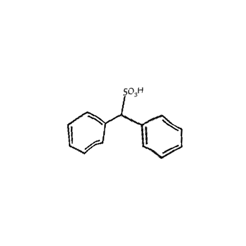 O=S(=O)(O)[C](c1ccccc1)c1ccccc1